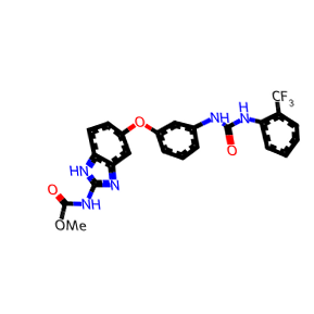 COC(=O)Nc1nc2cc(Oc3cccc(NC(=O)Nc4ccccc4C(F)(F)F)c3)ccc2[nH]1